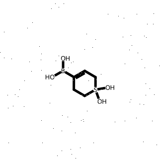 OB(O)C1=CCS(O)(O)CC1